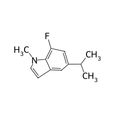 CC(C)c1cc(F)c2c(ccn2C)c1